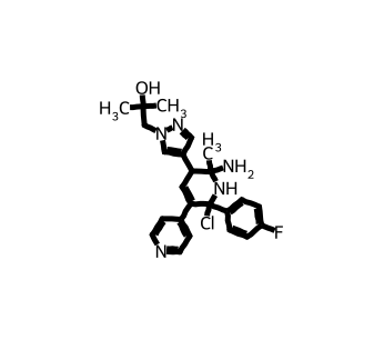 CC(C)(O)Cn1cc(C2C=C(c3ccncc3)C(Cl)(c3ccc(F)cc3)NC2(C)N)cn1